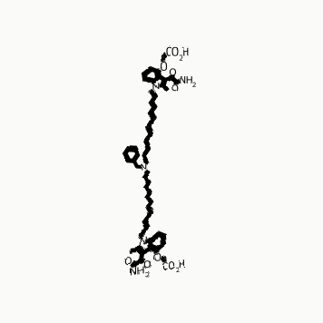 Cc1c(C(=O)C(N)=O)c2c(OCC(=O)O)cccc2n1CCCCCCCCCCCCN(CCCCCCCCCCCCn1c(C)c(C(=O)C(N)=O)c2c(OCC(=O)O)cccc21)Cc1ccccc1